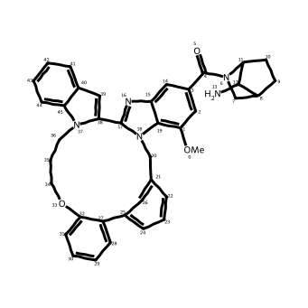 COc1cc(C(=O)N2CC3CCC2C3N)cc2nc3n(c12)Cc1cccc(c1)-c1ccccc1OCCCn1c-3cc2ccccc21